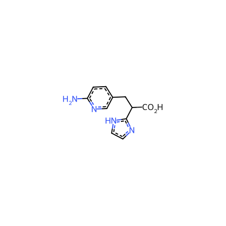 Nc1ccc(CC(C(=O)O)c2ncc[nH]2)cn1